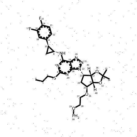 CCCSc1nc(N[C@@H]2C[C@H]2c2ccc(F)c(F)c2)c2nnn([C@H]3C[C@H](OCCOP)[C@H]4OC(C)(C)O[C@H]43)c2n1